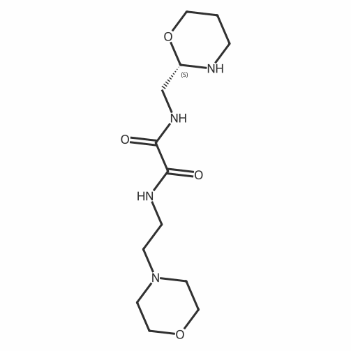 O=C(NCCN1CCOCC1)C(=O)NC[C@H]1NCCCO1